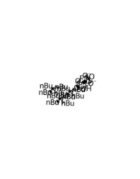 CCCC[N+](CCCC)(CCCC)CCCC.CCCC[N+](CCCC)(CCCC)CCCC.CCCC[N+](CCCC)(CCCC)CCCC.O=P([O-])([O-])C(F)(F)P(=O)([O-])O